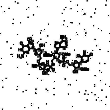 COC[C@H]1[C@@H](O)[C@H](n2c[n+](C)c3c(=O)[nH]c(N)nc32)O[C@@H]1COP(=O)(O)OP(=O)(O)OP(=O)(O)OC[C@H]1O[C@@H](n2cnc3c(N)ncnc32)[C@H](OC)[C@@H]1OP(=O)([O-])OC[C@H]1O[C@@H](n2ccc(=O)[nH]c2=O)[C@H](OC)[C@@H]1O